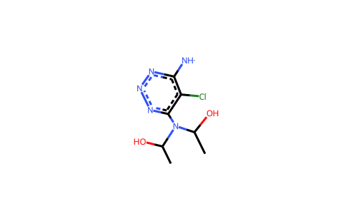 CC(O)N(c1nnnc([NH])c1Cl)C(C)O